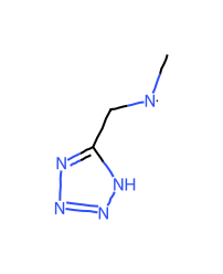 C[N]Cc1nnn[nH]1